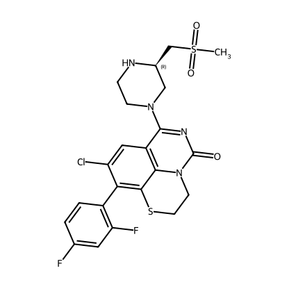 CS(=O)(=O)C[C@H]1CN(c2nc(=O)n3c4c(c(-c5ccc(F)cc5F)c(Cl)cc24)SCC3)CCN1